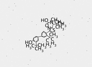 CN(C(=O)O)C(c1nc(-c2ccc(-c3ccc(O)c(C(C)(C)C)c3)cc2C(C)(C)C)cs1)C(C)(C)C